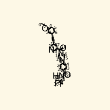 CCOc1cccc(C#Cc2cncc(C(=O)N3CCN(c4ccc(C(=O)NCC(F)(F)F)cc4)CC3)c2)c1